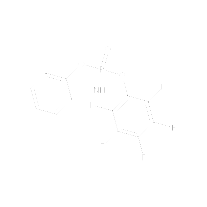 N[P@@](=O)(Oc1ccccc1)Oc1c(F)c(F)c(F)c(F)c1F